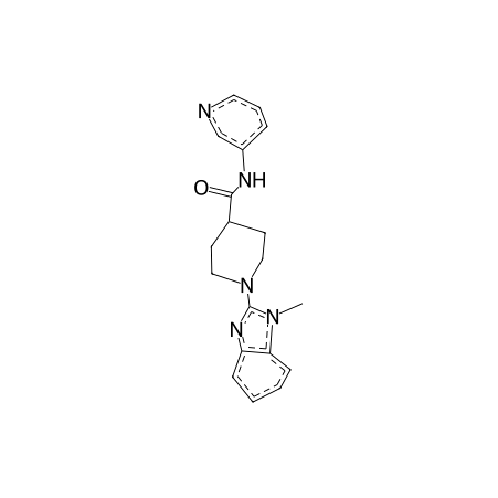 Cn1c(N2CCC(C(=O)Nc3cccnc3)CC2)nc2ccccc21